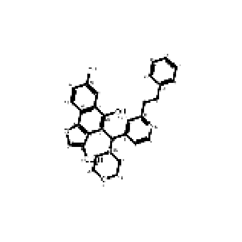 O=C(O)c1coc2c1c(C(c1ccnc(CCc3ccccc3)c1)N1CCOCC1)c(O)c1cc(F)ccc12